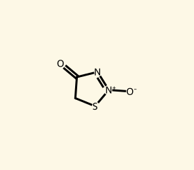 O=C1CS[N+]([O-])=N1